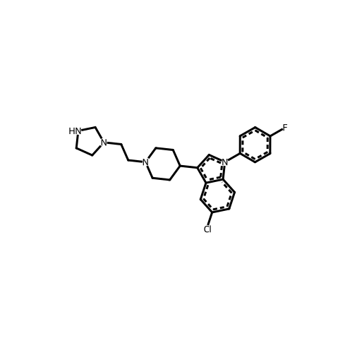 Fc1ccc(-n2cc(C3CCN(CCN4CCNC4)CC3)c3cc(Cl)ccc32)cc1